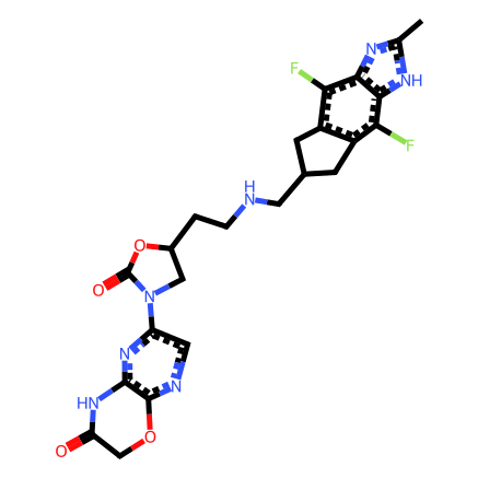 Cc1nc2c(F)c3c(c(F)c2[nH]1)CC(CNCCC1CN(c2cnc4c(n2)NC(=O)CO4)C(=O)O1)C3